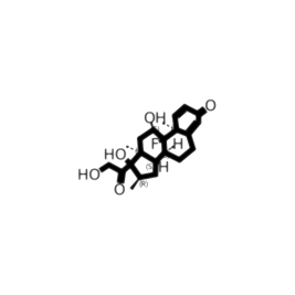 C[C@@H]1C[C@H]2[C@@H]3CCC4=CC(=O)C=C[C@]4(C)[C@@]3(F)[C@@H](O)C[C@]2(C)C1(O)C(=O)CO